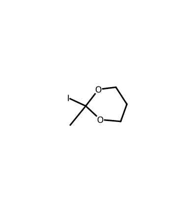 CC1(I)OCCCO1